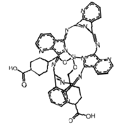 O=C(O)C1CCC(CO[Si]2(OCC3CCC(C(=O)O)CC3)n3c4c5cccnc5c3/N=C3N=C(/N=c5/c6cccnc6/c(n52)=N/C2=NC(=N\4)/c4ncccc42)c2ncccc2\3)CC1